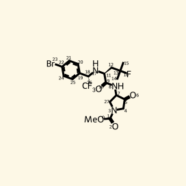 COC(=O)N1CC(=O)C(NC(=O)[C@H](CC(C)(C)F)N[C@@H](c2ccc(Br)cc2)C(F)(F)F)C1